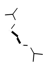 CC(C)ON=C=NOC(C)C